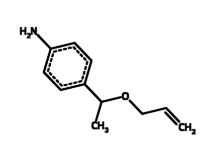 C=CCOC(C)c1ccc(N)cc1